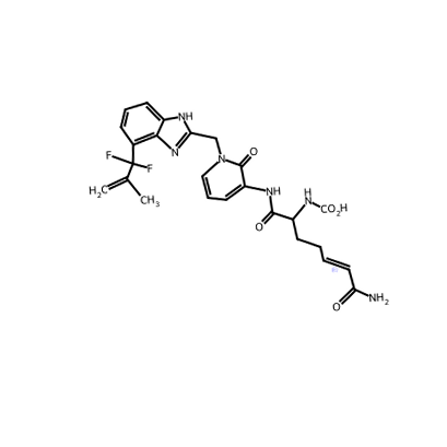 C=C(C)C(F)(F)c1cccc2[nH]c(Cn3cccc(NC(=O)C(CC/C=C/C(N)=O)NC(=O)O)c3=O)nc12